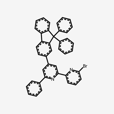 Brc1cccc(-c2cc(-c3ccc4c(c3)C(c3ccccc3)(c3ccccc3)c3ccccc3-4)cc(-c3ccccc3)n2)n1